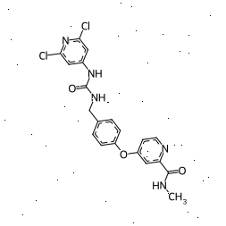 CNC(=O)c1cc(Oc2ccc(CNC(=O)Nc3cc(Cl)nc(Cl)c3)cc2)ccn1